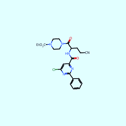 CCOC(=O)N1CCN(C(=O)C(CCC#N)NC(=O)c2cc(Cl)nc(-c3ccccc3)n2)CC1